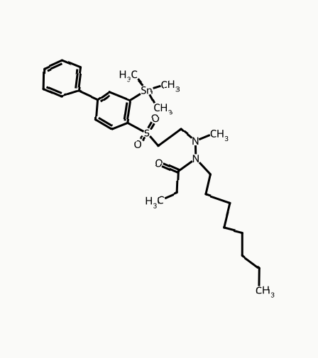 CCCCCCCCN(C(=O)CC)N(C)CCS(=O)(=O)c1ccc(-c2ccccc2)c[c]1[Sn]([CH3])([CH3])[CH3]